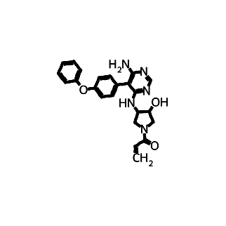 C=CC(=O)N1CC(O)C(Nc2ncnc(N)c2-c2ccc(Oc3ccccc3)cc2)C1